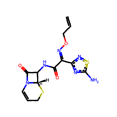 C=CCON=C(C(=O)NC1C(=O)N2C=CCS[C@@H]12)c1nsc(N)n1